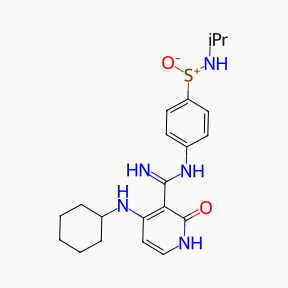 CC(C)N[S+]([O-])c1ccc(NC(=N)c2c(NC3CCCCC3)cc[nH]c2=O)cc1